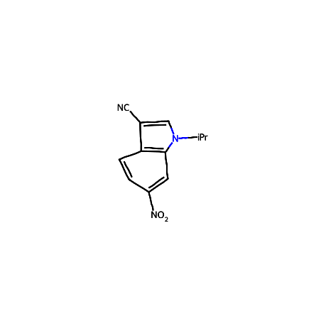 CC(C)n1cc(C#N)c2ccc([N+](=O)[O-])cc21